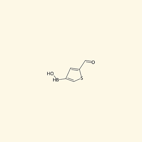 O=Cc1cc(BO)cs1